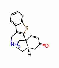 NCc1c([C@@]23C=CC(=O)C[C@@H]2CCC3)sc2ccccc12